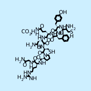 CC(=O)O.N=C(N)NCCC[C@H](NC(=O)[C@@H]1CCCN1C(=O)[C@H](CS)NC(=O)[C@H](CC(N)=O)NC(=O)[C@H](CCC(N)=O)NC(=O)[C@H](Cc1ccccc1)NC(=O)[C@H](Cc1ccc(O)cc1)NC(=O)[C@@H](N)CS)C(=O)NCC(N)=O